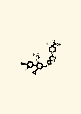 CCOc1cc(CN2CC3(CC(N4CCC(C)(C(=O)O)CC4)=NO3)C2)cc(C2CC2)c1-c1ccc(C#N)c(F)c1